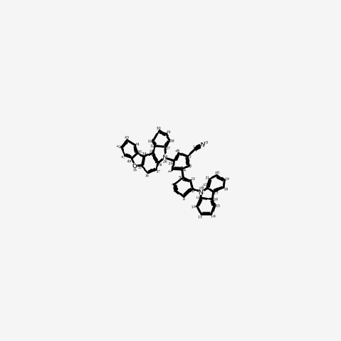 N#Cc1cc(-c2cccc(-n3c4ccccc4c4ccccc43)c2)cc(-n2c3ccccc3c3c4c(ccc32)oc2ccccc24)c1